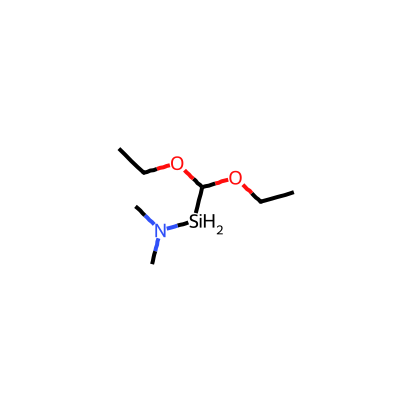 CCOC(OCC)[SiH2]N(C)C